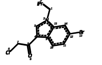 CC(C)Cn1cc(C(=O)CCl)c2ccc(Br)cc21